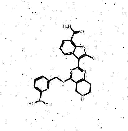 Cc1[nH]c2c(C(N)=O)cccc2c1-c1nc2c(c(NCc3cccc(B(O)O)c3)n1)CNCC2